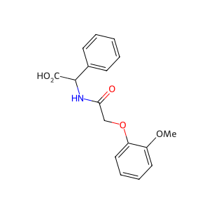 COc1ccccc1OCC(=O)NC(C(=O)O)c1ccccc1